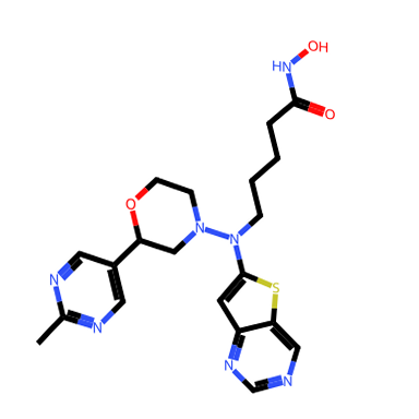 Cc1ncc(C2CN(N(CCCCC(=O)NO)c3cc4ncncc4s3)CCO2)cn1